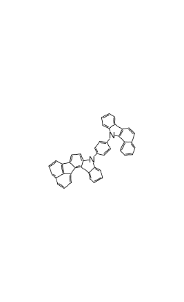 c1cc2c3c(cccc3c1)-c1c-2ccc2c1c1ccccc1n2-c1ccc(-n2c3ccccc3c3ccc4ccccc4c32)cc1